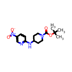 CC(C)(C)OC(=O)N1CCC(Nc2ccc([N+](=O)[O-])cn2)CC1